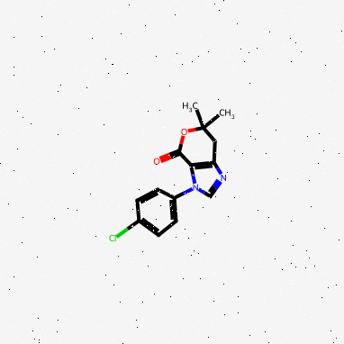 CC1(C)Cc2ncn(-c3ccc(Cl)cc3)c2C(=O)O1